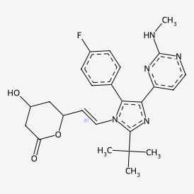 CNc1nccc(-c2nc(C(C)(C)C)n(/C=C/C3CC(O)CC(=O)O3)c2-c2ccc(F)cc2)n1